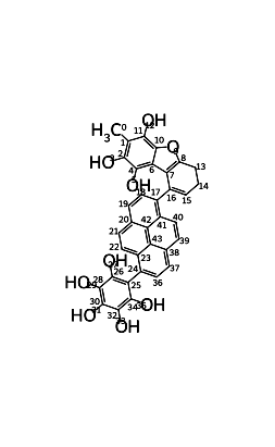 Cc1c(O)c(O)c2c3c(oc2c1O)CCC=C3c1ccc2ccc3c(-c4c(O)c(O)c(O)c(O)c4O)ccc4ccc1c2c43